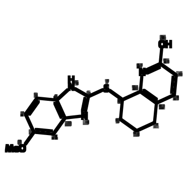 COc1ccc2[nH]c(SC3CCCc4ccc(O)nc43)nc2c1